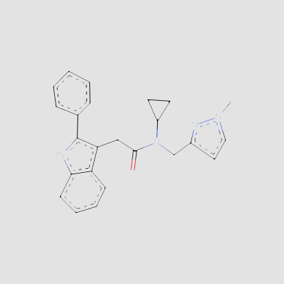 Cn1ccc(CN(C(=O)Cc2c(-c3ccccc3)[nH]c3ccccc23)C2CC2)n1